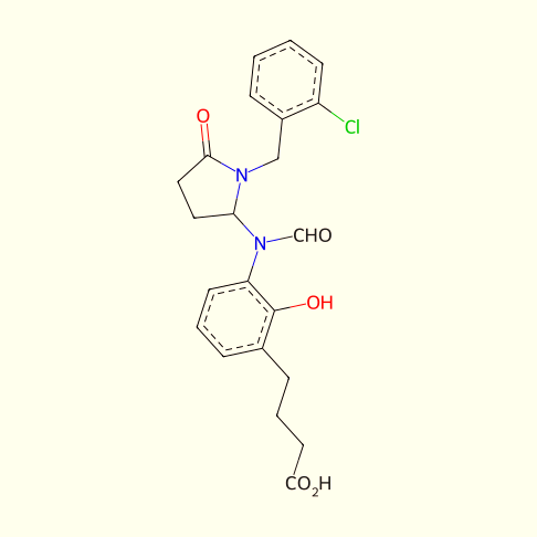 O=CN(c1cccc(CCCC(=O)O)c1O)C1CCC(=O)N1Cc1ccccc1Cl